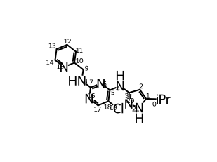 CC(C)c1cc(Nc2nc(NCc3ccccn3)ncc2Cl)n[nH]1